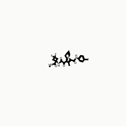 CNC(=O)C1(NC(=O)C(=O)c2c(C)c(C(=O)Nc3ccc(F)cc3)n3c2CC2CC23)CC(F)(F)C1